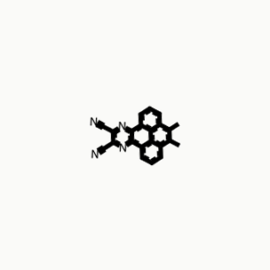 Cc1c(C)c2cccc3c4nc(C#N)c(C#N)nc4c4cccc1c4c23